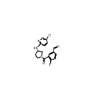 O=Cc1ccc(F)c(C(=O)N2CC[C@H](Nc3ccc(Cl)nn3)C2)c1